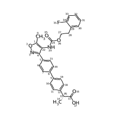 Cc1onc(-c2ccc(-c3ccc([C@@H](C)C(=O)O)cc3)cc2)c1NC(=O)OCCc1ccccc1F